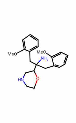 COc1ccccc1CC(N)(Cc1ccccc1OC)C1CNCCO1